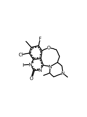 Cc1c(F)c2c3c(nc(=O)n(I)c3c1Cl)N1C(C)CN(C)CC1CCO2